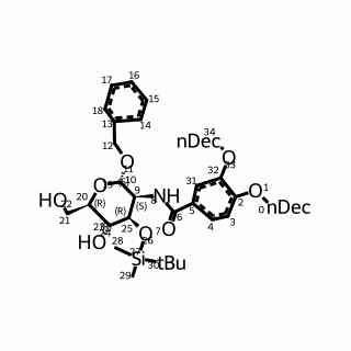 CCCCCCCCCCOc1ccc(C(=O)N[C@@H]2[C@@H](OCc3ccccc3)O[C@H](CO)[C@@H](O)[C@@H]2O[Si](C)(C)C(C)(C)C)cc1OCCCCCCCCCC